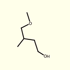 COCC(C)CCO